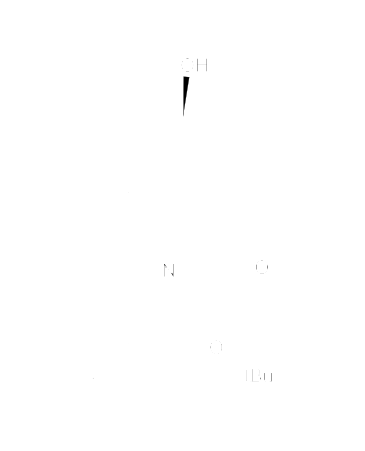 CC(C)(C)OC(=O)N(CC1CC1)[C@H]1CC[C@H](O)CC1